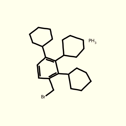 BrCc1ccc(C2CCCCC2)c(C2CCCCC2)c1C1CCCCC1.P